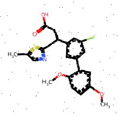 COc1ccc(OC)c(-c2cc(F)cc(C(CC(=O)O)c3ncc(C)s3)c2)c1